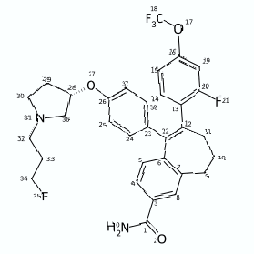 NC(=O)c1ccc2c(c1)CCCC(c1ccc(OC(F)(F)F)cc1F)=C2c1ccc(O[C@H]2CCN(CCCF)C2)cc1